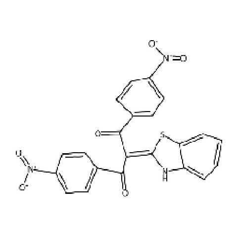 O=C(C(C(=O)c1ccc([N+](=O)[O-])cc1)=C1Nc2ccccc2S1)c1ccc([N+](=O)[O-])cc1